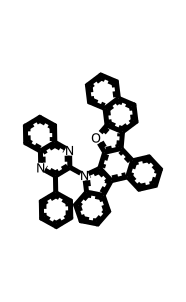 c1ccc(-c2nc3ccccc3nc2-n2c3ccccc3c3c4ccccc4c4c5ccc6ccccc6c5oc4c32)cc1